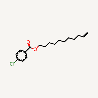 C=CCCCCCCCCCOC(=O)c1ccc(Cl)cc1